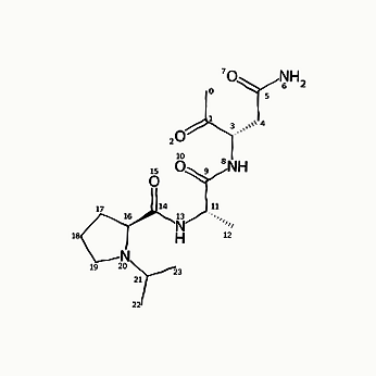 CC(=O)[C@H](CC(N)=O)NC(=O)[C@H](C)NC(=O)[C@@H]1CCCN1C(C)C